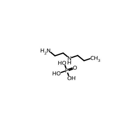 CCCNCCN.O=P(O)(O)O